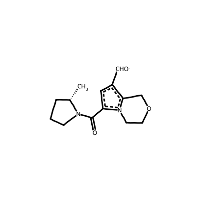 C[C@H]1CCCN1C(=O)c1cc([C]=O)c2n1CCOC2